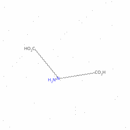 NCCN(CCCCCCCCCCCCCCCCCCCCCCCCCCCC(=O)O)CCCCCCCCCCCCCCCCCCCCCCCCCCCC(=O)O